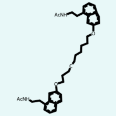 CC(=O)NCCc1cccc2ccc(OCCCCCCCCCCOc3ccc4cccc(CCNC(C)=O)c4c3)cc12